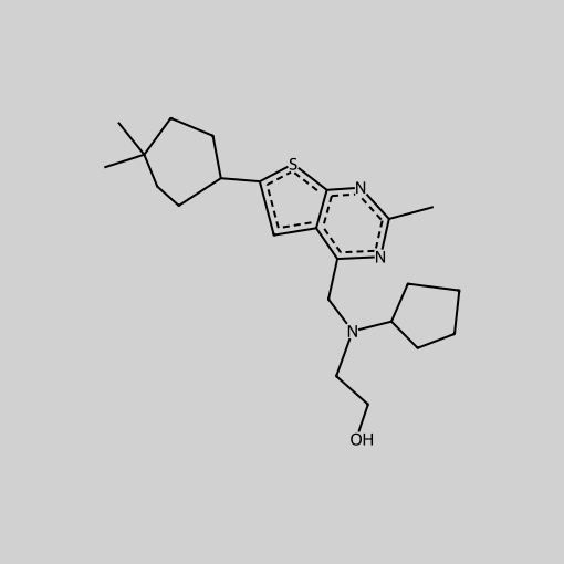 Cc1nc(CN(CCO)C2CCCC2)c2cc(C3CCC(C)(C)CC3)sc2n1